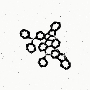 c1ccc(N(c2ccccc2)c2ccc3c(c2)C2(c4ccccc4-c4c(N(c5ccccc5)c5ccc6sc7ccccc7c6c5)cccc42)c2oc4ccccc4c2-3)cc1